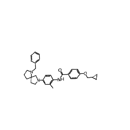 Cc1cc(N2CCC3(CCCN3Cc3ccccc3)C2)ccc1NC(=O)c1ccc(OCC2CC2)cc1